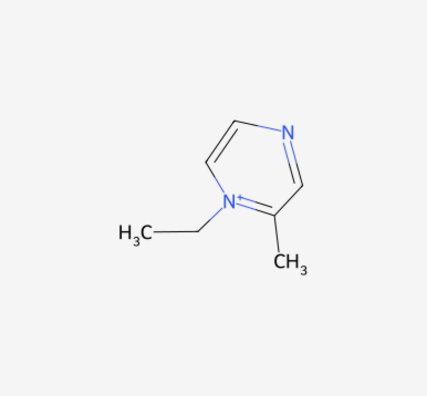 CC[n+]1ccncc1C